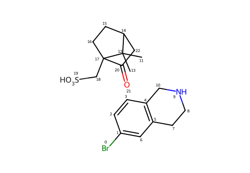 Brc1ccc2c(c1)CCNC2.CC1(C)C2CCC1(CS(=O)(=O)O)C(=O)C2